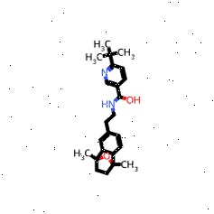 CC(C)(C)c1ccc(C(O)NCCC2=CC3C(C=C2)C2(C)CCC3(C)O2)cn1